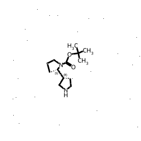 CC(C)(C)OC(=O)N1CCC[C@H]1[C@@H]1CCNC1